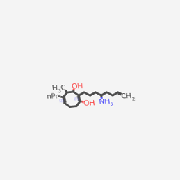 C=CCCC(N)CCC/C1=C(\O)CC/C=C(/CCC)C(C)C1O